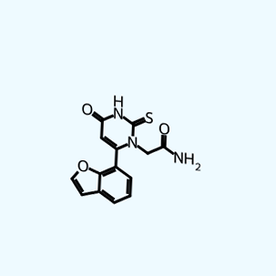 NC(=O)Cn1c(-c2cccc3ccoc23)cc(=O)[nH]c1=S